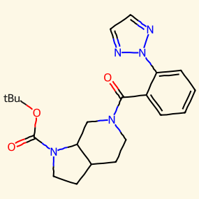 CC(C)(C)OC(=O)N1CCC2CCN(C(=O)c3ccccc3-n3nccn3)CC21